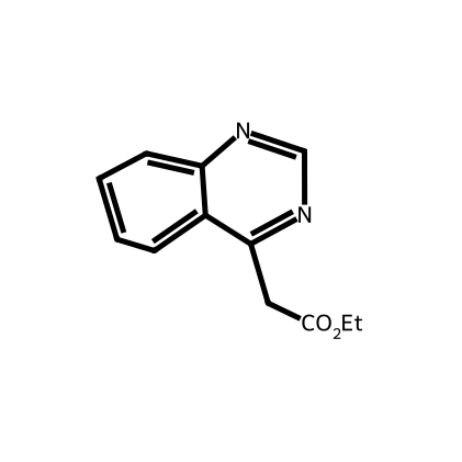 CCOC(=O)Cc1ncnc2ccccc12